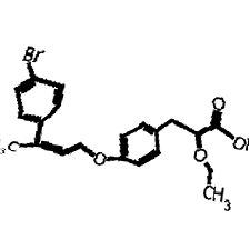 CCOC(Cc1ccc(OCC=C(C)c2ccc(Br)cc2)cc1)C(=O)O